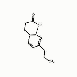 CCCc1ccc2c(n1)NC(=O)CS2